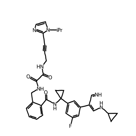 CC(C)n1ccnc1C#CCNC(=O)C(=O)NCc1ccccc1C(=O)NC1(c2cc(F)cc(/C(C=N)=C/NC3CC3)c2)CC1